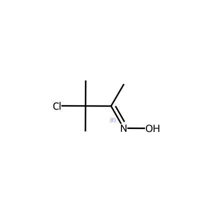 C/C(=N\O)C(C)(C)Cl